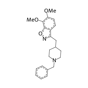 COc1ccc2c(CC3CCN(Cc4ccccc4)CC3)noc2c1OC